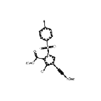 CCCCCCCCCCC#Cc1cn(S(=O)(=O)c2ccc(C)cc2)c(C(=O)OC)c1Cl